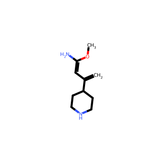 C=C(/C=C(/N)OC)C1CCNCC1